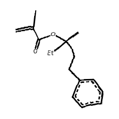 C=C(C)C(=O)OC(C)(CC)CCc1ccccc1